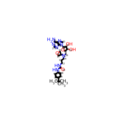 CC(C)(C)c1ccc(NC(=O)NCCCN(C[C@H]2O[C@@H](n3cnc4c(N)ncnc43)[C@H](O)[C@H]2O)C2COC2)cc1